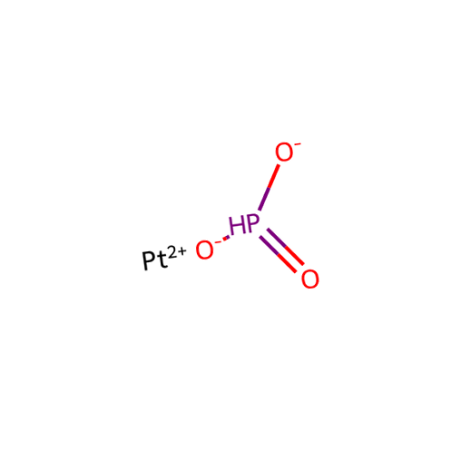 O=[PH]([O-])[O-].[Pt+2]